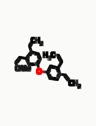 C=Cc1ccc(Oc2ccc(C=C)c(/C=C\OC)c2)cc1/C=C\C